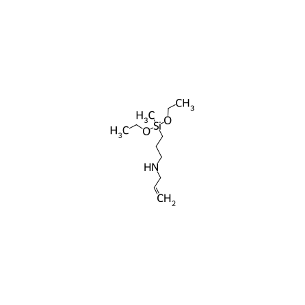 C=CCNCCC[Si](C)(OCC)OCC